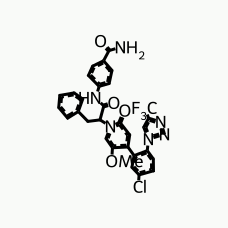 COc1cn(C(Cc2ccccc2)C(=O)Nc2ccc(C(N)=O)cc2)c(=O)cc1-c1cc(Cl)ccc1-n1cc(C(F)(F)F)nn1